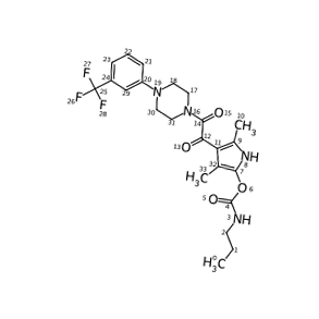 CCCNC(=O)Oc1[nH]c(C)c(C(=O)C(=O)N2CCN(c3cccc(C(F)(F)F)c3)CC2)c1C